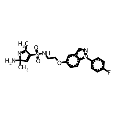 CC1=NC(C)(N)C=C1S(=O)(=O)NCCOc1ccc2c(cnn2-c2ccc(F)cc2)c1